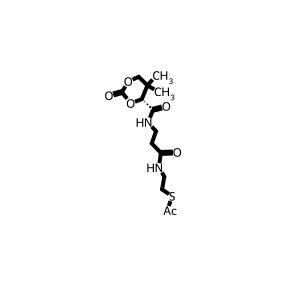 CC(=O)SCCNC(=O)CCNC(=O)[C@@H]1OC(=O)OCC1(C)C